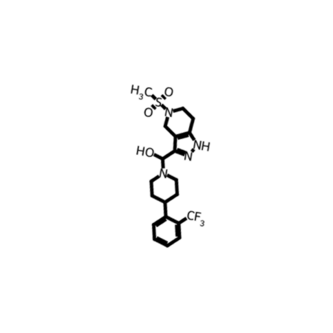 CS(=O)(=O)N1CCc2[nH]nc(C(O)N3CCC(c4ccccc4C(F)(F)F)CC3)c2C1